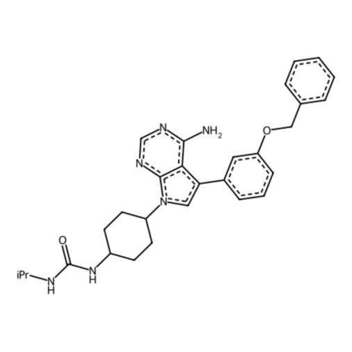 CC(C)NC(=O)NC1CCC(n2cc(-c3cccc(OCc4ccccc4)c3)c3c(N)ncnc32)CC1